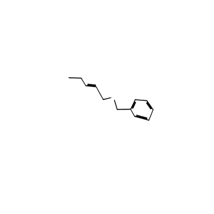 C[CH]C=CCOCc1ccccc1